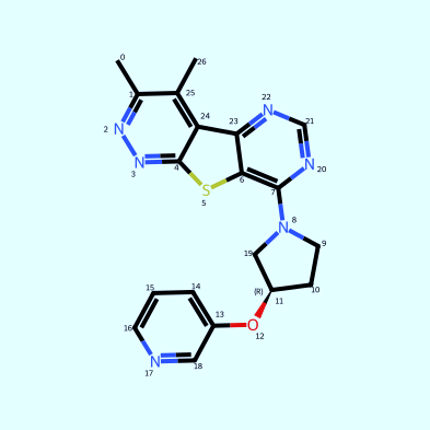 Cc1nnc2sc3c(N4CC[C@@H](Oc5cccnc5)C4)ncnc3c2c1C